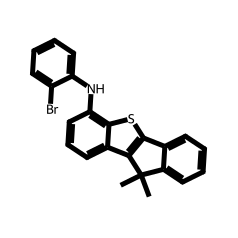 CC1(C)c2ccccc2-c2sc3c(Nc4ccccc4Br)cccc3c21